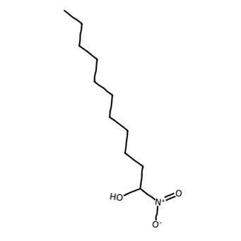 CCCCCCCCCCC(O)[N+](=O)[O-]